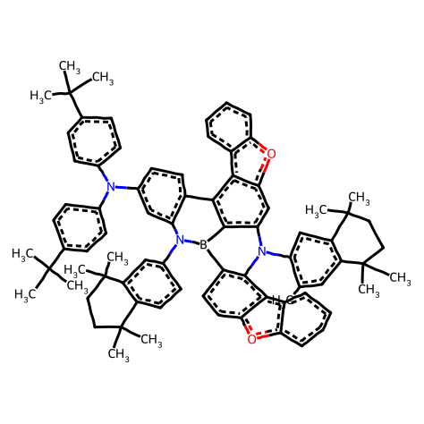 Cc1cc2c(cc1N1c3cc4oc5ccccc5c4c4c3B(c3ccc5oc6ccccc6c5c31)N(c1ccc3c(c1)C(C)(C)CCC3(C)C)c1cc(N(c3ccc(C(C)(C)C)cc3)c3ccc(C(C)(C)C)cc3)ccc1-4)C(C)(C)CCC2(C)C